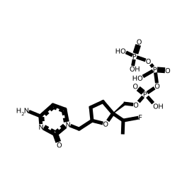 CC(F)[C@@]1(COP(=O)(O)OP(=O)(O)OP(=O)(O)O)CCC(Cn2ccc(N)nc2=O)O1